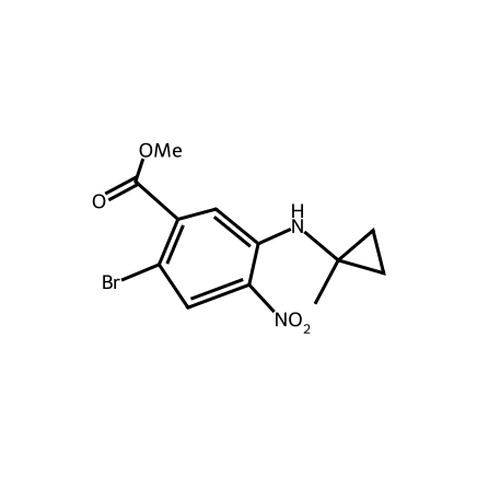 COC(=O)c1cc(NC2(C)CC2)c([N+](=O)[O-])cc1Br